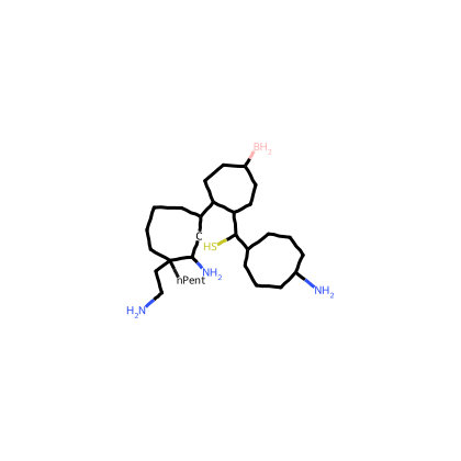 BC1CCC(C2CCCCC(CCN)(CCCCC)C(N)C2)C(C(S)C2CCCC(N)CCC2)CC1